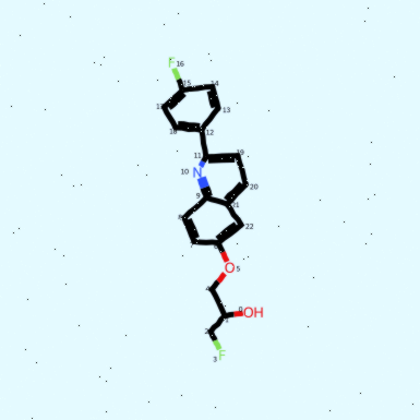 OC(CF)COc1ccc2nc(-c3ccc(F)cc3)ccc2c1